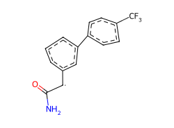 NC(=O)[CH]c1cccc(-c2ccc(C(F)(F)F)cc2)c1